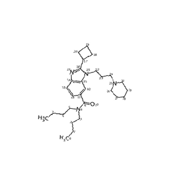 CCCCN(CCCC)C(=O)c1ccc2nc(C3CCC3)n(CCCN3CCCCC3)c2c1